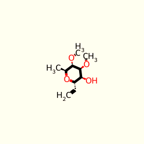 C=C[C@@H]1O[C@@H](C)[C@H](OC)[C@@H](OC)[C@H]1O